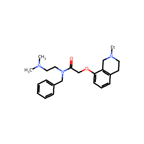 CCN1CCc2cccc(OCC(=O)N(CCN(C)C)Cc3ccccc3)c2C1